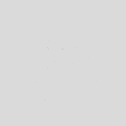 c1ccc2c(c1)nc1c3cc4c(cc3c3c5c(ccc3n21)sc1ccccc15)oc1ccccc14